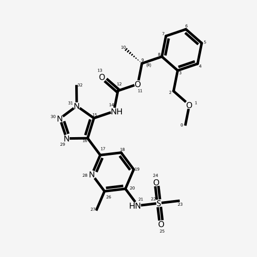 COCc1ccccc1[C@@H](C)OC(=O)Nc1c(-c2ccc(NS(C)(=O)=O)c(C)n2)nnn1C